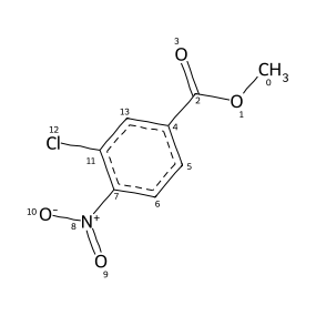 COC(=O)c1ccc([N+](=O)[O-])c(Cl)c1